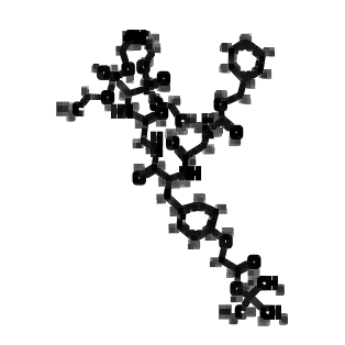 CCOP(=O)(OCC)C(NC(=O)CNC(=O)[C@H](Cc1ccc(OCC(=O)OC(C)(C)C)cc1)NC(=O)CNC(=O)OCc1ccccc1)P(=O)(OCC)OCC